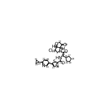 O=C(N[C@H](C(=O)N1C[C@H](Cl)[C@H]2OCC(=O)[C@H]21)C1CCCC1)c1ncc(-c2ccc(C3CC3)nc2)s1